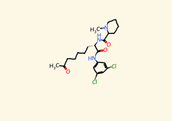 CC(=O)CCCCC[C@H](NC(=O)C1CCCCN1C)C(=O)Nc1cc(Cl)cc(Cl)c1